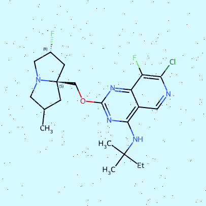 CCC(C)(C)Nc1nc(OC[C@@]23CC(C)CN2C[C@H](F)C3)nc2c(F)c(Cl)ncc12